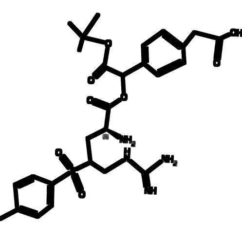 Cc1ccc(S(=O)(=O)C(CNC(=N)N)C[C@H](N)C(=O)OC(C(=O)OC(C)(C)C)c2ccc(CC(=O)O)cc2)cc1